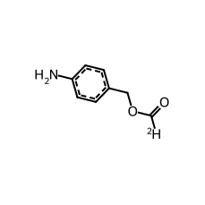 [2H]C(=O)OCc1ccc(N)cc1